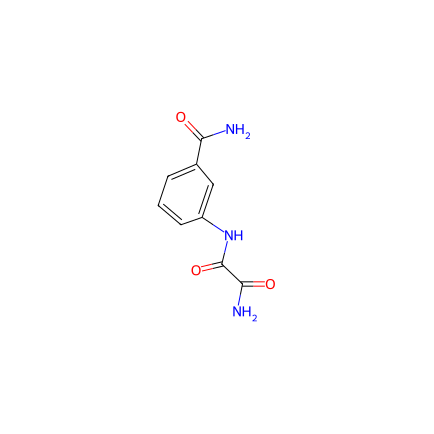 NC(=O)C(=O)Nc1cccc(C(N)=O)c1